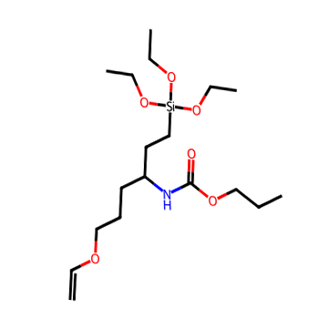 C=COCCCC(CC[Si](OCC)(OCC)OCC)NC(=O)OCCC